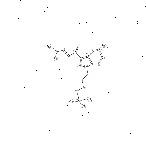 CN(C)/C=C/C(=O)c1nn(COCC[Si](C)(C)C)c2ccc([N+](=O)[O-])cc12